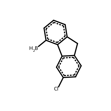 Bc1cccc2c1-c1cc(Cl)ccc1C2